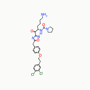 NCCCCC(NC(=O)N1CCCC1)C(=O)c1noc(Cc2ccc(OCCc3ccc(Cl)c(Cl)c3)cc2)n1